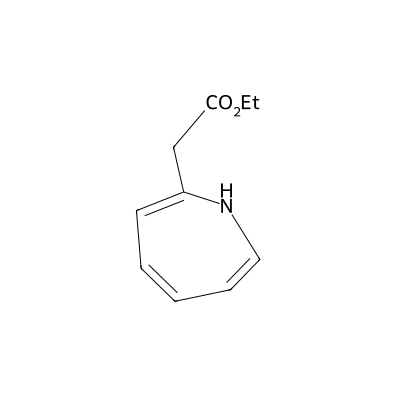 CCOC(=O)CC1=CC=CC=CN1